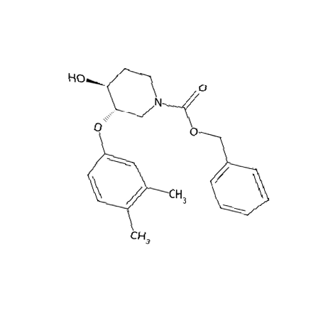 Cc1ccc(O[C@H]2CN(C(=O)OCc3ccccc3)CC[C@@H]2O)cc1C